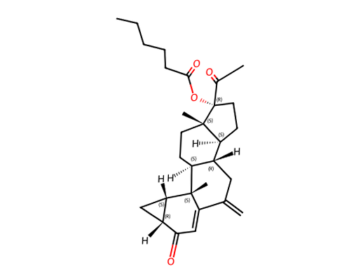 C=C1C[C@@H]2[C@H](CC[C@@]3(C)[C@H]2CC[C@]3(OC(=O)CCCCC)C(C)=O)[C@]2(C)C1=CC(=O)[C@@H]1C[C@@H]12